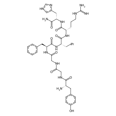 CC(C)C[C@H](NC(=O)[C@H](Cc1ccccc1)NC(=O)CNC(=O)CNC(=O)[C@@H](N)Cc1ccc(O)cc1)C(=O)N[C@@H](CCCNC(=N)N)C(=O)N[C@@H](Cc1c[nH]cn1)C(N)=O